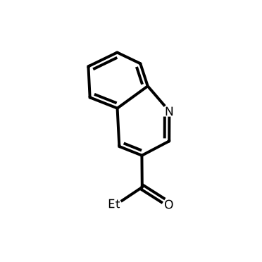 [CH2]CC(=O)c1cnc2ccccc2c1